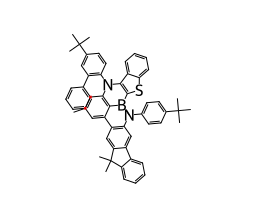 Cc1cc2c3c(c1)N(c1ccc(C(C)(C)C)cc1-c1ccccc1)c1c(sc4ccccc14)B3N(c1ccc(C(C)(C)C)cc1)c1cc3c(cc1-2)C(C)(C)c1ccccc1-3